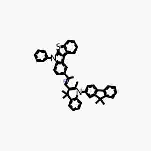 CC1=C(/C=C(\C)c2ccc3c(c2)c2c4ccccc4sc2n3-c2ccccc2)C(C)(C)c2ccccc2N1c1ccc2c(c1)C(C)(C)c1ccccc1-2